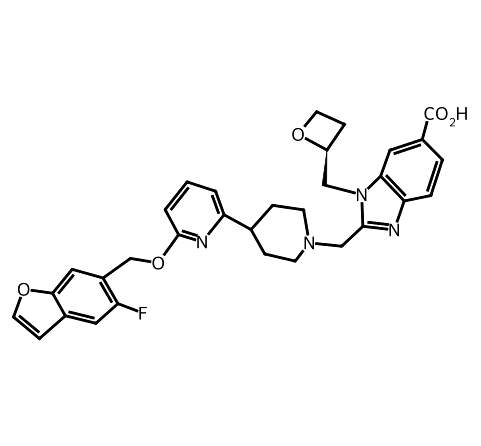 O=C(O)c1ccc2nc(CN3CCC(c4cccc(OCc5cc6occc6cc5F)n4)CC3)n(C[C@@H]3CCO3)c2c1